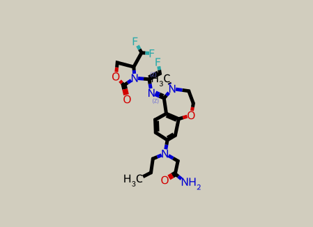 CCCN(CC(N)=O)c1ccc2c(c1)OCCN(C)/C2=N\C(=C\F)N1C(=O)OCC1C(F)F